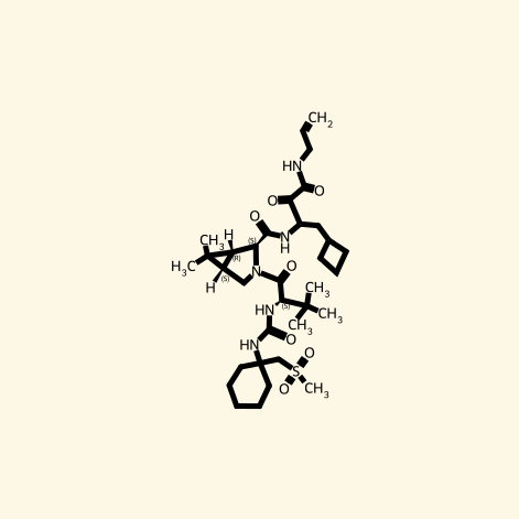 C=CCNC(=O)C(=O)C(CC1CCC1)NC(=O)[C@@H]1[C@@H]2[C@H](CN1C(=O)[C@@H](NC(=O)NC1(CS(C)(=O)=O)CCCCC1)C(C)(C)C)C2(C)C